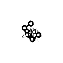 CC1=C2c3c(-c4ccccc4)cccc3[CH]1[Zr][CH]1C(C)=C(c3c(-c4ccccc4)cccc31)[Si]2(C)C